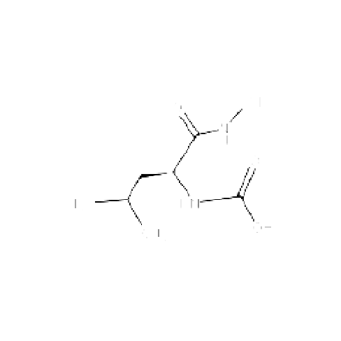 CNC(=O)[C@H](CC(C)C)NC(=O)O